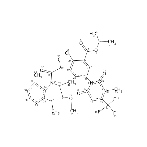 CC(C)OC(=O)c1cc(-n2c(=O)cc(C(F)(F)F)n(C)c2=O)ccc1Cl.CCc1cccc(C)c1N(C(=O)CCl)C(C)COC